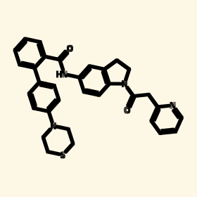 O=C(Nc1ccc2c(c1)CCN2C(=O)Cc1ccccn1)c1ccccc1-c1ccc(N2CCSCC2)cc1